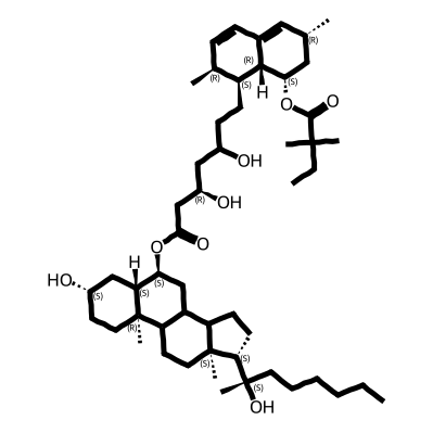 CCCCCC[C@](C)(O)[C@H]1CCC2C3C[C@H](OC(=O)C[C@H](O)CC(O)CC[C@@H]4[C@@H]5C(=C[C@H](C)C[C@@H]5OC(=O)C(C)(C)CC)C=C[C@@H]4C)[C@H]4C[C@@H](O)CC[C@]4(C)C3CC[C@@]21C